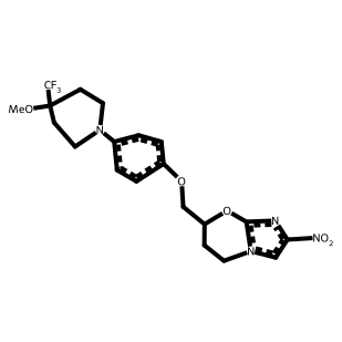 COC1(C(F)(F)F)CCN(c2ccc(OCC3CCn4cc([N+](=O)[O-])nc4O3)cc2)CC1